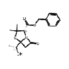 C[C@@H](O)C12CC(=O)N1[C@@H](C(=O)OCc1ccccc1)C(C)(C)S2